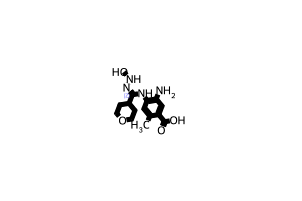 Cc1cc(N/C(=N\NO)C2CCOCC2)c(N)cc1C(=O)O